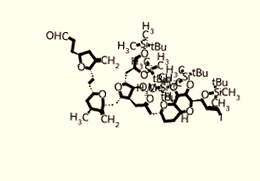 C=C1C[C@H](CCC=O)O[C@H]1CC[C@H]1C[C@H](C)C(=C)[C@@H](C[C@@H]2O[C@H](C[C@@H](CO[Si](C)(C)C(C)(C)C)O[Si](C)(C)C(C)(C)C)[C@@H](OC)[C@H]2CC(=O)C[C@H]2CC[C@@H]3O[C@H](C(/C=C/I)O[Si](C)(C)C(C)(C)C)C(O[Si](C)(C)C(C)(C)C)C(O[Si](C)(C)C(C)(C)C)[C@@H]3O2)O1